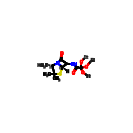 CCOC(OCC)(OCC)C(=O)NC1C(=O)N2[C@@H]1SC(C)(C)[C@@H]2C(=O)O